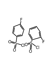 O=S(=O)(Cl)c1ccc(F)cc1.O=S(=O)(Cl)c1ccccc1F